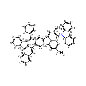 Cc1cc2c(-n3c4ccccc4c4ccccc43)c(C)cc3c4cc5c(-c6ccccc6)c6c7ccccc7c7c8ccccc8cc(c5cc4c(c1)c23)c67